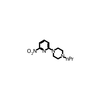 C[CH]CN1CCN(c2cccc([N+](=O)[O-])n2)CC1